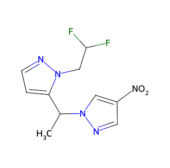 CC(c1ccnn1CC(F)F)n1cc([N+](=O)[O-])cn1